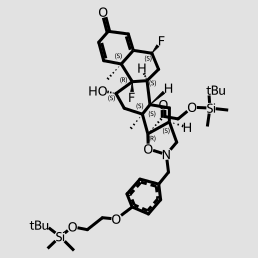 CC(C)(C)[Si](C)(C)OCCOc1ccc(CN2C[C@@H]3C[C@H]4[C@@H]5C[C@H](F)C6=CC(=O)C=C[C@]6(C)[C@@]5(F)[C@@H](O)C[C@]4(C)[C@]3(C(=O)CO[Si](C)(C)C(C)(C)C)O2)cc1